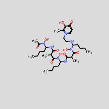 CCCCC(NC(=O)C(C)C(=O)N(O)C(CCCC)NC(=O)C(C)C(=O)N(O)C(CCCC)NCCn1ccc(=O)c(O)c1C)N(O)C(C)=O